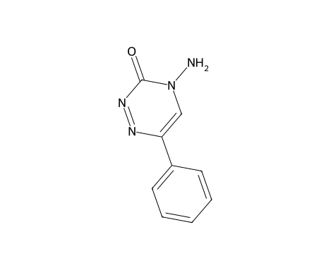 Nn1cc(-c2ccccc2)nnc1=O